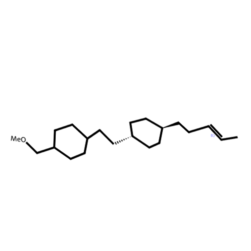 C/C=C/CC[C@H]1CC[C@H](CCC2CCC(COC)CC2)CC1